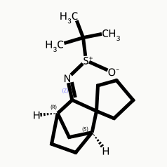 CC(C)(C)[S+]([O-])/N=C1/[C@@H]2CC[C@@H](C2)C12CCCC2